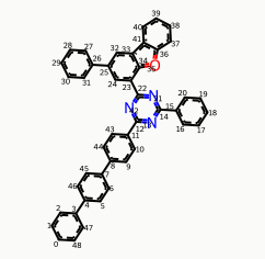 c1ccc(-c2ccc(-c3ccc(-c4nc(-c5ccccc5)nc(-c5cc(-c6ccccc6)cc6c5oc5ccccc56)n4)cc3)cc2)cc1